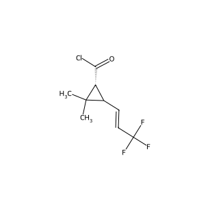 CC1(C)C(C=CC(F)(F)F)[C@H]1C(=O)Cl